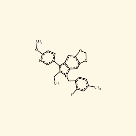 COc1ccc(-c2c(CO)n(Cc3ccc(C)cc3F)c3cc4c(cc23)OCO4)cn1